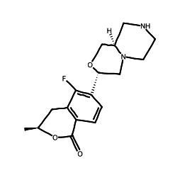 C[C@H]1Cc2c(ccc([C@H]3CN4CCNC[C@@H]4CO3)c2F)C(=O)O1